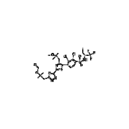 CCC(NS(=O)(=O)c1ccc(-c2sc(-c3nnc(CC(C)(C)OC=O)o3)nc2CC(C)(C)OC)c(Cl)c1Cl)C(F)(F)F